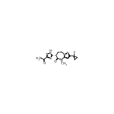 CN1C(=O)[C@H](c2nc(C(N)=O)n[nH]2)CCn2nc(C3(F)CC3)cc21